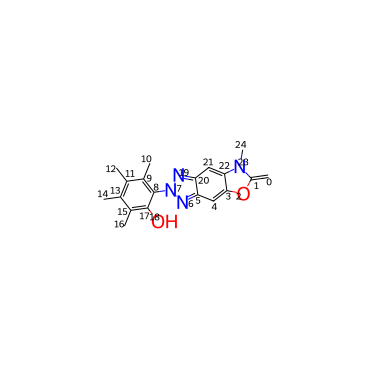 C=C1Oc2cc3nn(-c4c(C)c(C)c(C)c(C)c4O)nc3cc2N1C